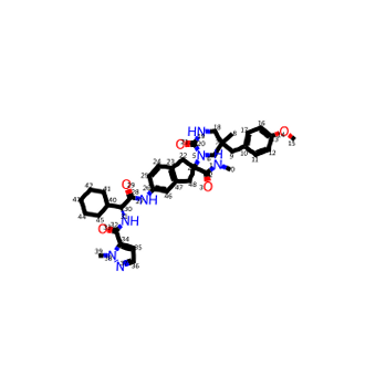 CNC(=O)C1(N2CC(C)(Cc3ccc(OC)cc3)CNC2=O)Cc2ccc(NC(=O)[C@@H](NC(=O)c3ccnn3C)C3CCCCC3)cc2C1